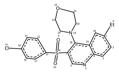 CCc1ccc2ncc(S(=O)(=O)c3ccc(Cl)cc3)c(N3CCOCC3)c2c1